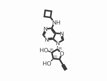 C#CC1O[C@@H](n2cnc3c(NC4CCC4)ncnc32)[C@H](O)[C@@H]1O